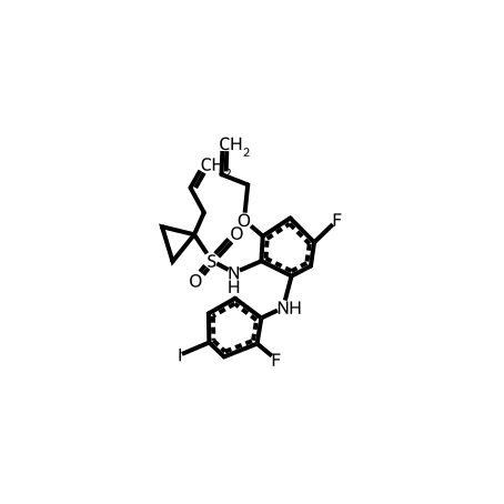 C=CCOc1cc(F)cc(Nc2ccc(I)cc2F)c1NS(=O)(=O)C1(CC=C)CC1